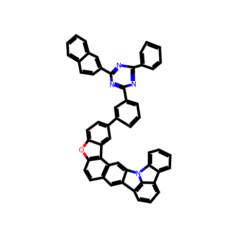 c1ccc(-c2nc(-c3cccc(-c4ccc5oc6ccc7cc8c9cccc%10c%11ccccc%11n(c8cc7c6c5c4)c%109)c3)nc(-c3ccc4ccccc4c3)n2)cc1